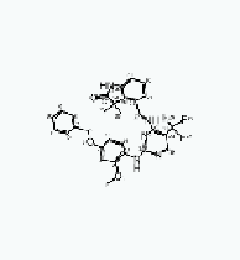 COc1cc(OCc2ccccc2)ccc1Nc1ncc(C(F)(F)F)c(NCc2cccc3c2C(C)(C)C(=O)N3)n1